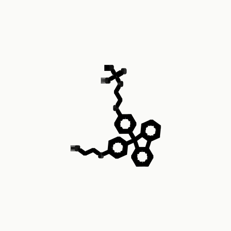 O=P(O)(O)OCCOc1ccc(C2(c3ccc(OCCO)cc3)c3ccccc3-c3ccccc32)cc1